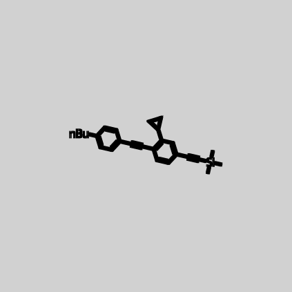 CCCCc1ccc(C#Cc2ccc(C#C[Si](C)(C)C)cc2C2CC2)cc1